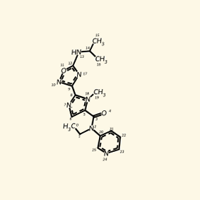 CCN(C(=O)c1cnc(-c2noc(NC(C)C)n2)n1C)c1cccnc1